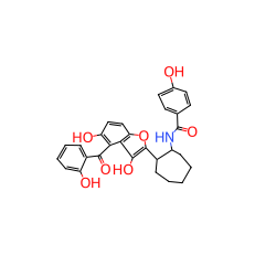 O=C(NC1CCCCCC1c1oc2ccc(O)c(C(=O)c3ccccc3O)c2c1O)c1ccc(O)cc1